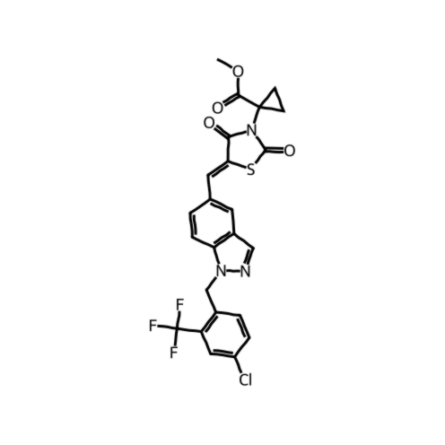 COC(=O)C1(N2C(=O)SC(=Cc3ccc4c(cnn4Cc4ccc(Cl)cc4C(F)(F)F)c3)C2=O)CC1